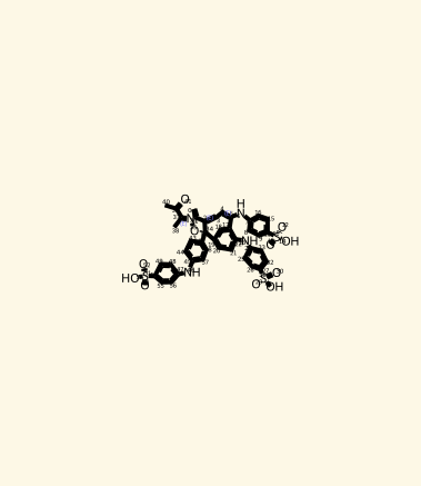 C=C/C1=C\C=C(\Nc2ccc(S(=O)(=O)O)cc2)c2cc(ccc2Nc2ccc(S(=O)(=O)O)cc2)[C@@]1(O/N=C(\C)C(C)=O)c1ccc(Nc2ccc(S(=O)(=O)O)cc2)cc1